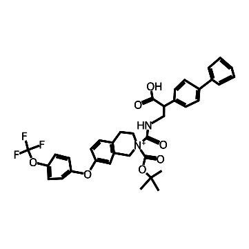 CC(C)(C)OC(=O)[N+]1(C(=O)NCC(C(=O)O)c2ccc(-c3ccccc3)cc2)CCc2ccc(Oc3ccc(OC(F)(F)F)cc3)cc2C1